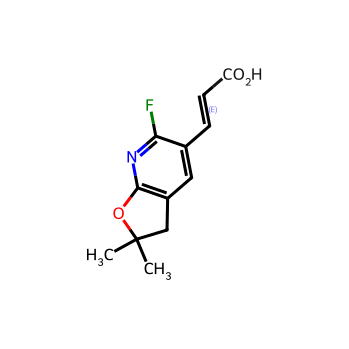 CC1(C)Cc2cc(/C=C/C(=O)O)c(F)nc2O1